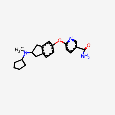 CN(C1CCCC1)C1Cc2ccc(Oc3ccc(C(N)=O)cn3)cc2C1